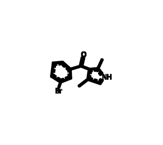 Cc1c[nH]c(C)c1C(=O)c1cccc(Br)c1